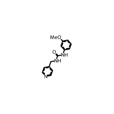 COc1cccc(NC(=O)NCc2ccncc2)c1